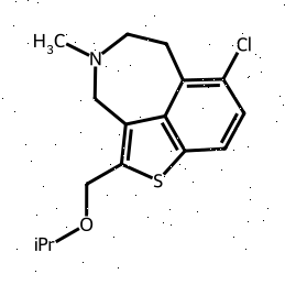 CC(C)OCc1sc2ccc(Cl)c3c2c1CN(C)CC3